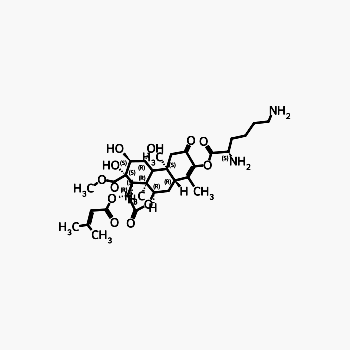 COC(=O)[C@@]1(O)[C@@H](O)[C@H](O)C2[C@@]3(C)[C@@H](C[C@H]4C(C)=C(OC(=O)[C@@H](N)CCCCN)C(=O)C[C@]24C)OC(=O)[C@H](OC(=O)C=C(C)C)[C@@H]13